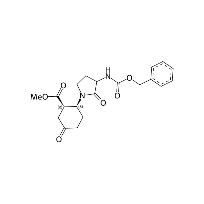 COC(=O)[C@@H]1CC(=O)CC[C@@H]1N1CCC(NC(=O)OCc2ccccc2)C1=O